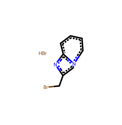 Br.BrCc1cn2ccccc2n1